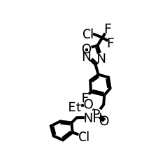 CCOP(=O)(Cc1ccc(-c2noc(C(F)(F)Cl)n2)cc1F)NCc1ccccc1Cl